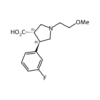 COCCN1C[C@@H](C(=O)O)[C@H](c2cccc(F)c2)C1